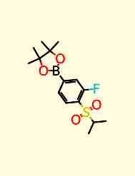 CC(C)S(=O)(=O)c1ccc(B2OC(C)(C)C(C)(C)O2)cc1F